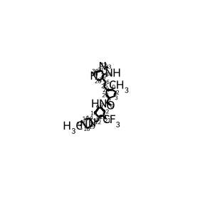 Cc1ccc(C(=O)Nc2ccc(CN3CCN(C)CC3)c(C(F)(F)F)c2)cc1CCc1cncc2nc[nH]c12